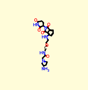 N[C@H]1CCN(CC(=O)NCCOCCNc2cccc3c2C(=O)N(C2CCC(=O)NC2=O)C3=O)C1